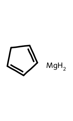 C1=CCC=C1.[MgH2]